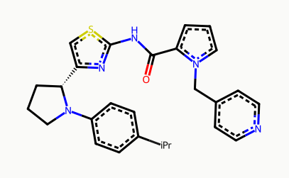 CC(C)c1ccc(N2CCC[C@@H]2c2csc(NC(=O)c3cccn3Cc3ccncc3)n2)cc1